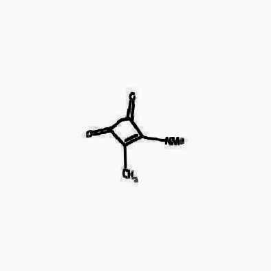 CNc1c(C)c(=O)c1=O